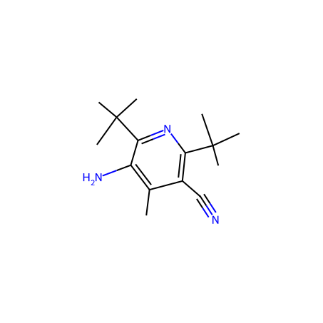 Cc1c(N)c(C(C)(C)C)nc(C(C)(C)C)c1C#N